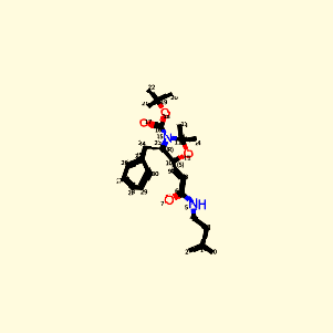 CC(C)CCNC(=O)C=C[C@@H]1OC(C)(C)N(C(=O)OC(C)(C)C)[C@@H]1Cc1ccccc1